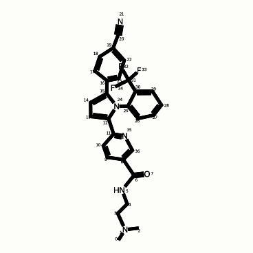 CN(C)CCNC(=O)c1ccc(-c2ccc(-c3ccc(C#N)cc3)n2-c2ccccc2C(F)(F)F)nc1